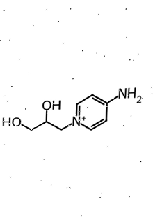 Nc1cc[n+](CC(O)CO)cc1